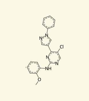 COc1c[c]ccc1Nc1ncc(Cl)c(-c2cnn(-c3ccccc3)c2)n1